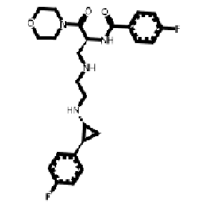 O=C(N[C@@H](CNCCN[C@@H]1C[C@H]1c1ccc(F)cc1)C(=O)N1CCOCC1)c1ccc(F)cc1